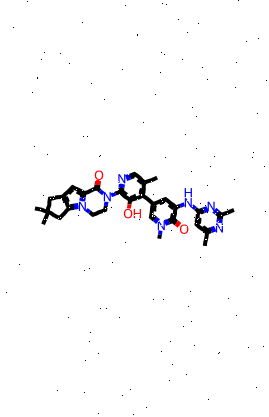 Cc1cc(Nc2cc(-c3c(C)cnc(N4CCn5c(cc6c5CC(C)(C)C6)C4=O)c3O)cn(C)c2=O)nc(C)n1